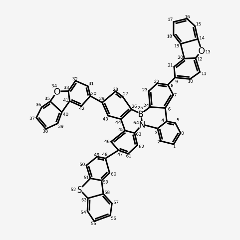 c1ccc2c(c1)-c1cc(-c3ccc4oc5ccccc5c4c3)ccc1B1c3ccc(-c4ccc5oc6ccccc6c5c4)cc3-c3cc(-c4ccc5sc6ccccc6c5c4)ccc3N12